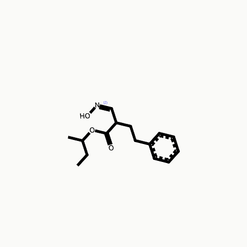 CCC(C)OC(=O)C(/C=N\O)CCc1ccccc1